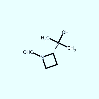 CC(C)(O)[C@@H]1CCN1C=O